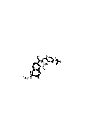 CCN(C)N(Cc1ccc(C(F)(F)F)cn1)C(=O)c1ccc2nc(N)c(C)cc2c1